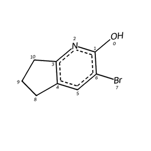 Oc1nc2c(cc1Br)CCC2